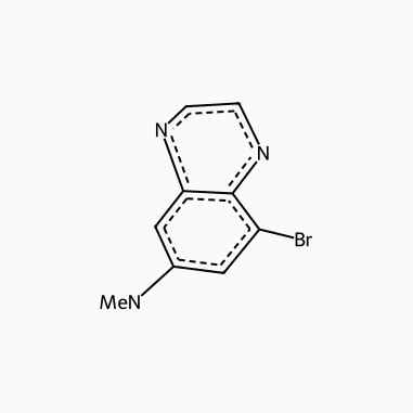 CNc1cc(Br)c2nccnc2c1